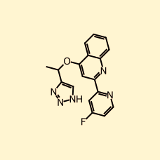 CC(Oc1cc(-c2cc(F)ccn2)nc2ccccc12)c1c[nH]nn1